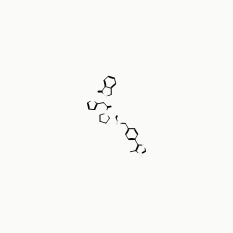 Cc1ncsc1-c1ccc(CNC(=O)[C@@H]2C[C@@H](O)CN2C(=O)[C@H](c2cccs2)N2Cc3ccccc3C2=O)cc1